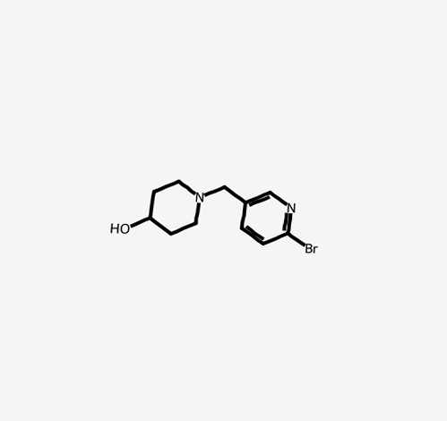 OC1CCN(Cc2ccc(Br)nc2)CC1